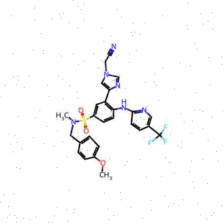 COc1ccc(CN(C)S(=O)(=O)c2ccc(Nc3ccc(C(F)(F)F)cn3)c(-c3cn(CC#N)cn3)c2)cc1